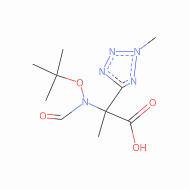 Cn1nnc(C(C)(C(=O)O)N(C=O)OC(C)(C)C)n1